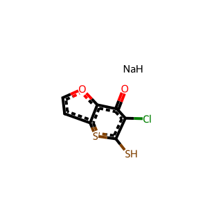 O=c1c(Cl)c(S)sc2ccoc12.[NaH]